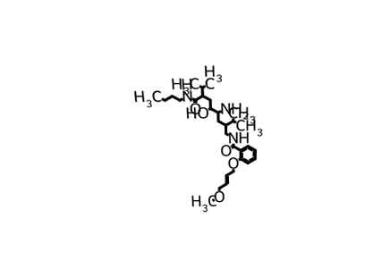 CCCCNC(=O)C(CC(O)C(N)CC(CNC(=O)c1ccccc1OCC=CCOC)C(C)C)C(C)C